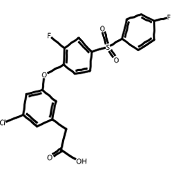 O=C(O)Cc1cc(Cl)cc(Oc2ccc(S(=O)(=O)c3ccc(F)cc3)cc2F)c1